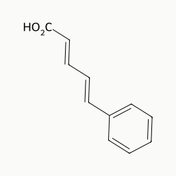 O=C(O)C=C/C=C/c1ccccc1